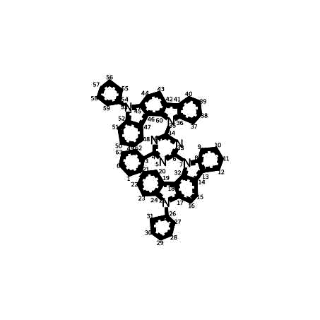 c1ccc(-c2nc(-n3c4ccccc4c4ccc5c(c6ccccc6n5-c5ccccc5)c43)nc(-n3c4ccccc4c4ccc5c(c6ccccc6n5-c5ccccc5)c43)n2)cc1